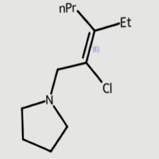 CCC/C(CC)=C(/Cl)CN1CCCC1